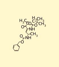 COC(=O)/C(=C/[C@@H](C)NC(=O)OCc1ccccc1)NC(=O)OC(C)(C)C